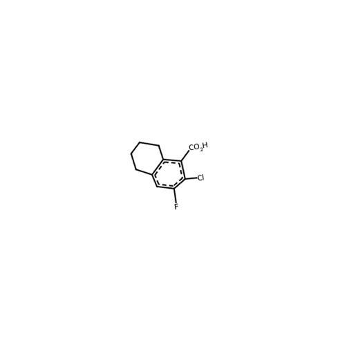 O=C(O)c1c(Cl)c(F)cc2c1CCCC2